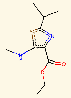 CCOC(=O)c1nc(C(C)C)sc1NC